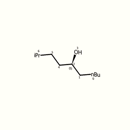 CCCCC[C@H](O)CCC(C)C